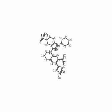 C=C(CCC)C1CCc2c(c(N3CCCc4cc(-c5cnn(C)c5)c(C(F)F)cc43)nn2C2CCCCC2)C1